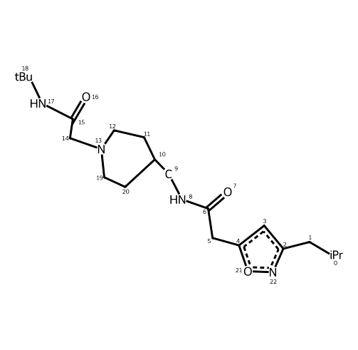 CC(C)Cc1cc(CC(=O)NCC2CCN(CC(=O)NC(C)(C)C)CC2)on1